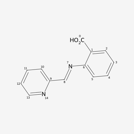 O=C(O)c1ccccc1N=Cc1ccccn1